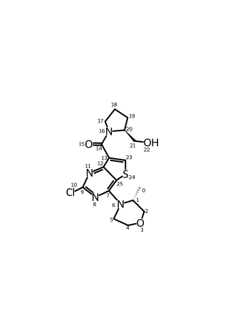 C[C@@H]1COCCN1c1nc(Cl)nc2c(C(=O)N3CCC[C@H]3CO)csc12